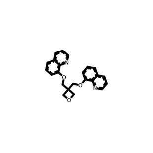 c1cnc2c(OCC3(COc4cccc5cccnc45)COC3)cccc2c1